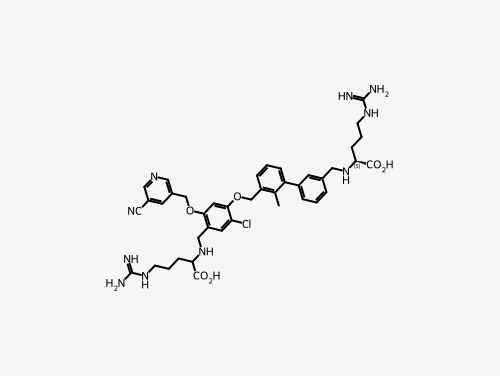 Cc1c(COc2cc(OCc3cncc(C#N)c3)c(CNC(CCCNC(=N)N)C(=O)O)cc2Cl)cccc1-c1cccc(CN[C@@H](CCCNC(=N)N)C(=O)O)c1